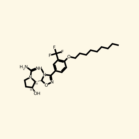 CCCCCCCCCOc1ccc(C2=NOC([C@@H]3[C@@H](O)CCN3C(=N)N)N2C)cc1C(F)(F)F